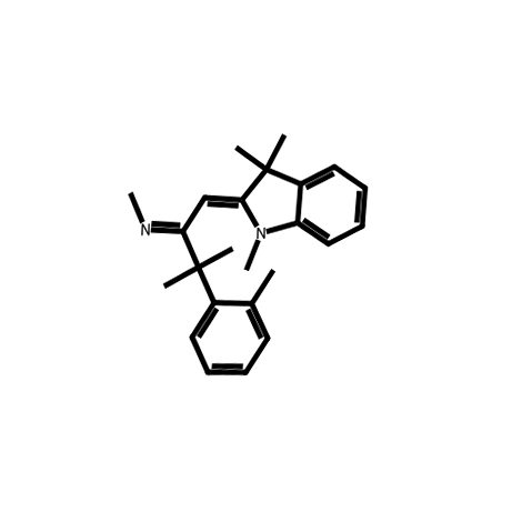 C/N=C(\C=C1/N(C)c2ccccc2C1(C)C)C(C)(C)c1ccccc1C